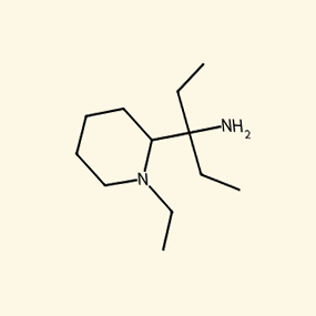 CCN1CCCCC1C(N)(CC)CC